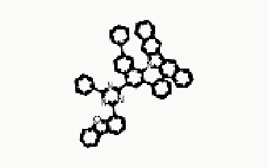 c1ccc(-c2ccc3c(-c4nc(-c5ccccc5)nc(-c5cccc6c5oc5ccccc56)n4)cc(-c4ccccc4)c(-n4c5cc6ccccc6cc5c5cc6ccccc6cc54)c3c2)cc1